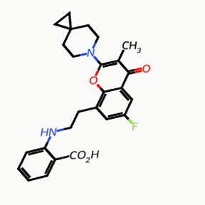 Cc1c(N2CCC3(CC2)CC3)oc2c(CCNc3ccccc3C(=O)O)cc(F)cc2c1=O